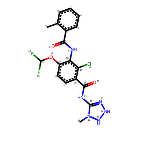 Cc1ccccc1C(=O)Nc1c(OC(F)F)ccc(C(=O)NC2=NNNN2C)c1Cl